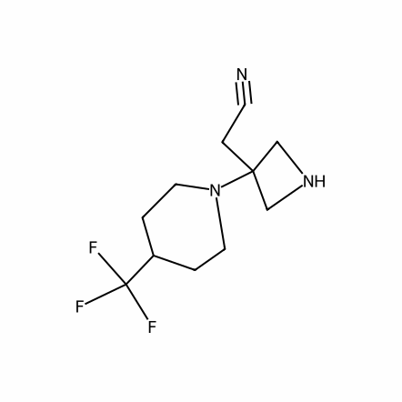 N#CCC1(N2CCC(C(F)(F)F)CC2)CNC1